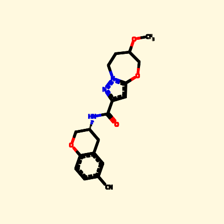 N#Cc1ccc2c(c1)C[C@@H](NC(=O)c1cc3n(n1)CCC(OC(F)(F)F)CO3)CO2